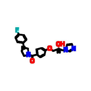 O=C(c1ccc(OC[C@H](O)Cn2ccnc2)cc1)N1CC[C@H](c2ccc(F)cc2)C1